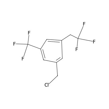 FC(F)(F)Cc1cc(CCl)cc(C(F)(F)F)c1